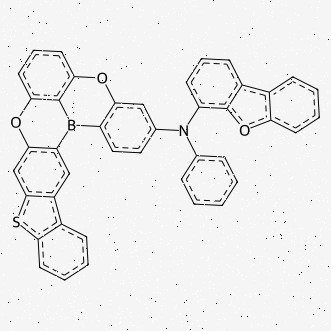 c1ccc(N(c2ccc3c(c2)Oc2cccc4c2B3c2cc3c(cc2O4)sc2ccccc23)c2cccc3c2oc2ccccc23)cc1